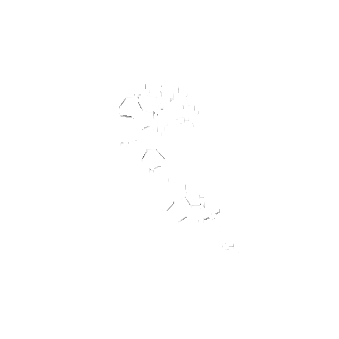 CCCS(=O)(=O)Nc1ccc(F)c(CCc2ccc(C(O)c3cn([Si](C(C)C)(C(C)C)C(C)C)c4ncccc34)cn2)c1F